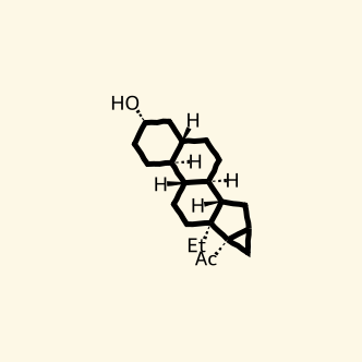 CC[C@]12CC[C@H]3[C@@H](CC[C@H]4C[C@@H](O)CC[C@@H]43)[C@@H]1CC1C[C@]12C(C)=O